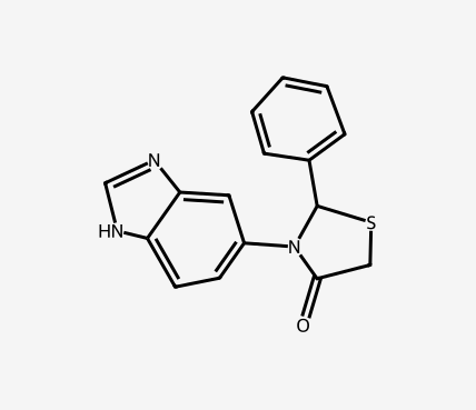 O=C1CSC(c2ccccc2)N1c1ccc2[nH]cnc2c1